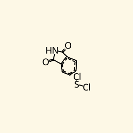 ClSCl.O=C1NC(=O)c2ccccc21